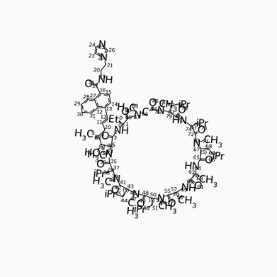 CC[C@@H]1NC(=O)[C@H]([C@H](O)[C@H](C)CC=Cc2ccc(C(=O)NCCn3ccnc3)c3ccccc23)N(C)C(=O)[C@H](C(C)C)N(C)C(=O)[C@H](CC(C)C)N(C)C(=O)[C@H](CC(C)C)N(C)C(=O)[C@@H](C)NC(=O)[C@H](C)NC(=O)[C@H](CC(C)C)N(C)C(=O)[C@H](C(C)C)NC(=O)[C@H](CC(C)C)N(C)C(=O)CN(C)C1=O